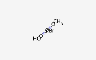 Cc1ccc(/C=C/c2ccc(/C=C/c3ccc(O)cc3)cc2Br)cc1